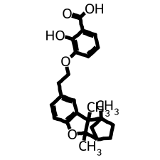 CC12CCC(C1)C1(C)Oc3ccc(CCOc4cccc(C(=O)O)c4O)cc3C21C